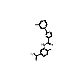 Cc1cccc(-c2ccc(C(=O)Nc3cc(C(N)=O)ccc3C)s2)c1